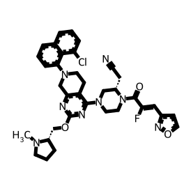 CN1CCC[C@H]1COc1nc2c(c(N3CCN(C(=O)/C(F)=C/c4ccon4)[C@@H](CC#N)C3)n1)CCN(c1cccc3cccc(Cl)c13)C2